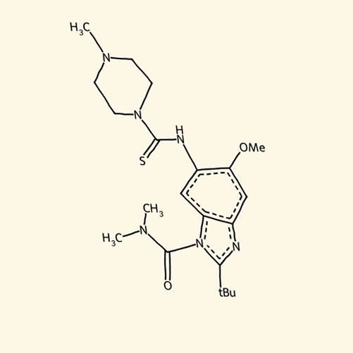 COc1cc2nc(C(C)(C)C)n(C(=O)N(C)C)c2cc1NC(=S)N1CCN(C)CC1